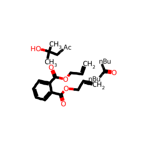 C=CCOC(=O)c1ccccc1C(=O)OCC=C.CC(=O)CC(C)(C)O.CCCCC(=O)CCCC